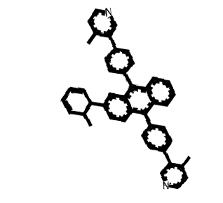 Cc1ccncc1-c1ccc(-c2c3ccccc3c(-c3ccc(-c4cnccc4C)cc3)c3cc(C4C=CC=CC4C)ccc23)cc1